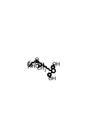 CC(C)(O)CN(CCCCCCC1=C(c2cccc(O)c2)CCCc2cc(O)ccc21)CCCS(=O)(=O)CCCC(F)(F)C(F)(F)F